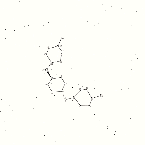 CCN1CCN(C[C@H]2CC[C@H](OC3CCN(C)CC3)CC2)CC1